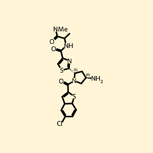 CNC(=O)C(C)NC(=O)c1csc([C@@H]2C[C@@H](N)CN2C(=O)C2=CC3C=C(Cl)C=CC3S2)n1